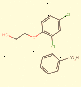 O=C(O)c1ccccc1.OCCOc1ccc(Cl)cc1Cl